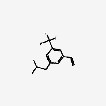 C=[C]c1cc(CC(C)C)cc(C(F)(F)F)c1